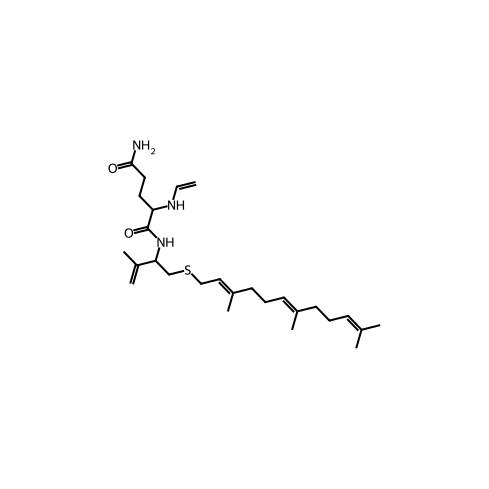 C=CNC(CCC(N)=O)C(=O)NC(CSC/C=C(\C)CC/C=C(\C)CCC=C(C)C)C(=C)C